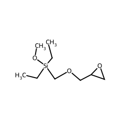 CC[Si](CC)(COCC1CO1)OC